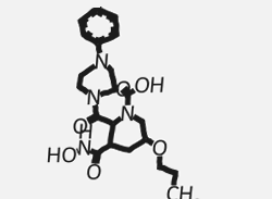 CCCOC1CC(C(=O)NO)C(C(=O)N2CCN(c3ccccc3)CC2)N(C(=O)O)C1